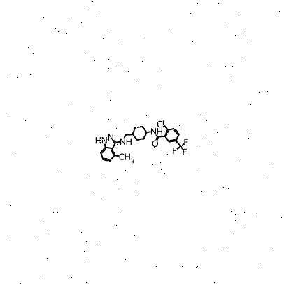 Cc1cccc2[nH]nc(NCC3CCC(NC(=O)c4cc(C(F)(F)F)ccc4Cl)CC3)c12